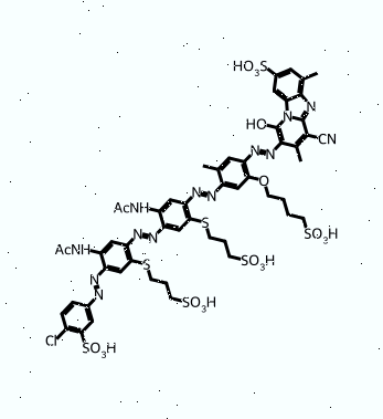 CC(=O)Nc1cc(N=Nc2cc(SCCCS(=O)(=O)O)c(N=Nc3cc(OCCCCS(=O)(=O)O)c(N=Nc4c(C)c(C#N)c5nc6c(C)cc(S(=O)(=O)O)cc6n5c4O)cc3C)cc2NC(C)=O)c(SCCCS(=O)(=O)O)cc1N=Nc1ccc(Cl)c(S(=O)(=O)O)c1